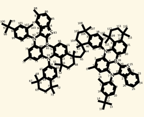 Cc1cc2c3c(c1)N(c1ccc(C(C)(C)C)cc1C)c1c(sc4ccccc14)B3c1ccc3c(c1N2c1ccc2c(c1)C(C)(CCC1(C)CCC(C)(C)c4c1ccc1c4N(c4ccc5c(c4)C(C)(C)CCC5(C)C)c4cc(C)cc5c4B1c1sc4ccc(C)cc4c1N5c1ccc(C(C)(C)C)cc1C)CCC2(C)C)C(C)(C)CCC3(C)C